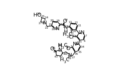 COc1nc(-c2ccnc(-c3cccc(NC(=O)c4ccc(CN5CC(O)C5)cn4)c3C)c2Cl)ccc1CN(C)C[C@H]1CCC(=O)N1